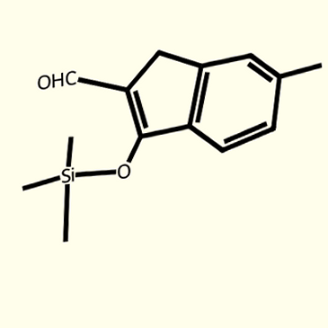 Cc1ccc2c(c1)CC(C=O)=C2O[Si](C)(C)C